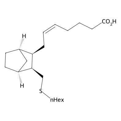 CCCCCCSC[C@H]1[C@H]2CC[C@H](C2)[C@H]1C/C=C\CCCC(=O)O